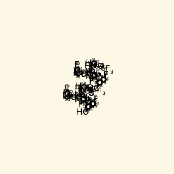 C#Cc1c(F)ccc2cc(O)cc(-c3ncc4c(N5C[C@@H]6CC[C@](COC(F)(F)F)(C5)N6)nc(OC[C@@]56CCCN5C[C@H](F)C6)nc4c3F)c12.C#Cc1c(F)ccc2cc(O)cc(-c3ncc4c(N5C[C@@H]6CC[C@](CS(C)(=O)=O)(C5)N6)nc(OC[C@@]56CCCN5C[C@H](F)C6)nc4c3F)c12